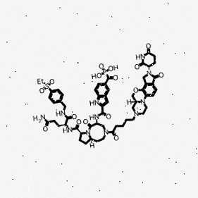 CCS(=O)(=O)c1ccc(CNC(=O)[C@H](CCC(N)=O)NC(=O)[C@@H]2CC[C@@H]3CCN(C(=O)CCCCN4CCN5c6ccc7c(c6OC[C@H]5C4)CN([C@H]4CCC(=O)NC4=O)C7=O)C[C@H](NC(=O)c4cc5cc(C(=O)P(=O)(O)O)ccc5[nH]4)C(=O)N32)cc1